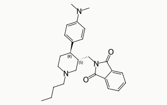 CCCCN1CC[C@@H](c2ccc(N(C)C)cc2)[C@H](CN2C(=O)c3ccccc3C2=O)C1